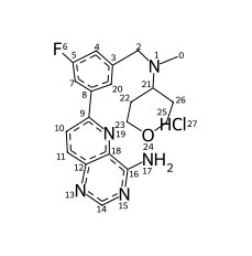 CN(Cc1cc(F)cc(-c2ccc3ncnc(N)c3n2)c1)C1CCOCC1.Cl